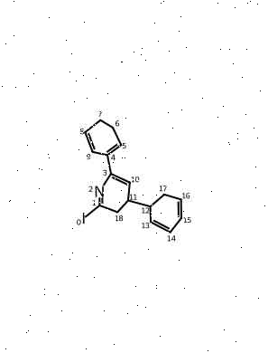 IC1=NC(C2=CCCC=C2)=CC(C2C=CC=CC2)C1